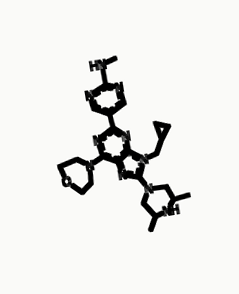 CNc1ncc(-c2nc(N3CCOCC3)c3nc(N4CC(C)NC(C)C4)n(CC4CC4)c3n2)cn1